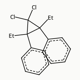 CCC1(c2ccccc2)C(Cl)(Cl)C1(CC)c1ccccc1